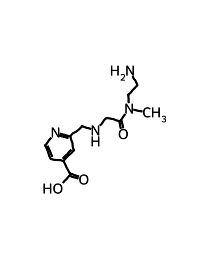 CN(CCN)C(=O)CNCc1cc(C(=O)O)ccn1